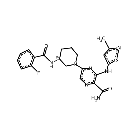 Cc1cc(Nc2nc(N3CCC[C@@H](NC(=O)c4ccccc4F)C3)cnc2C(N)=O)sn1